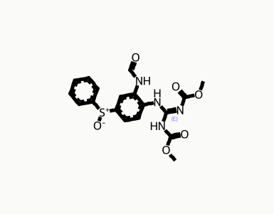 COC(=O)/N=C(/NC(=O)OC)Nc1ccc([S+]([O-])c2ccccc2)cc1NC=O